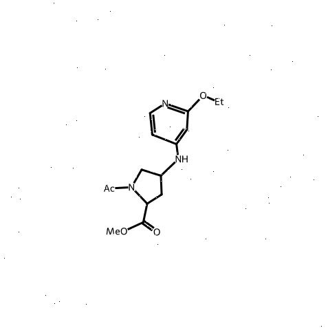 CCOc1cc(NC2CC(C(=O)OC)N(C(C)=O)C2)ccn1